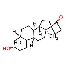 C[C@]12CC[C@@H](O)C[C@@H]1CC[C@@H]1[C@@H]2CC[C@@]2(C)[C@H]1CC[C@@]21CCC1=O